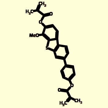 C=C(C)C(=O)Oc1ccc(-c2ccc3c(c2)sc2c(OC)c(OC(=O)C(=C)C)ccc23)cc1